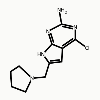 Nc1nc(Cl)c2cc(CN3CCCC3)[nH]c2n1